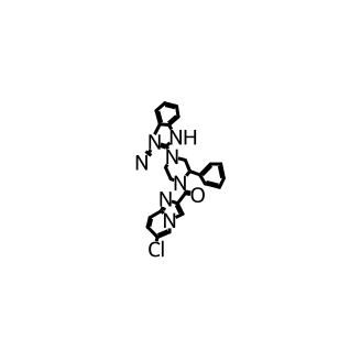 Cc1ccccc1N/C(=N/C#N)N1CCN(C(=O)c2cn3cc(Cl)ccc3n2)C(c2ccccc2)C1